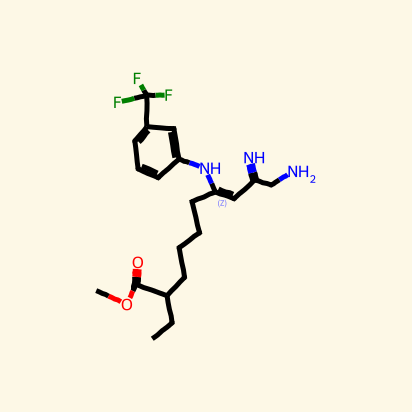 CCC(CCCC/C(=C/C(=N)CN)Nc1cccc(C(F)(F)F)c1)C(=O)OC